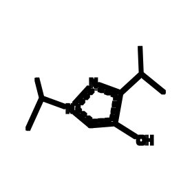 CC(C)c1nn(C(C)C)cc1O